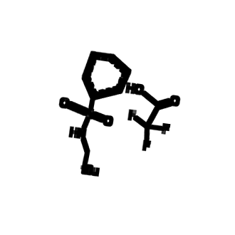 CC(C)(C)CNS(=O)(=O)c1ccccc1.O=C(O)C(F)(F)F